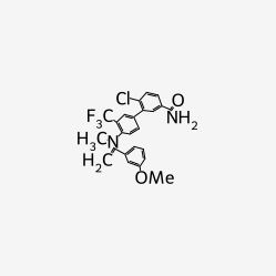 C=C(c1cccc(OC)c1)N(C)c1ccc(-c2cc(C(N)=O)ccc2Cl)cc1C(F)(F)F